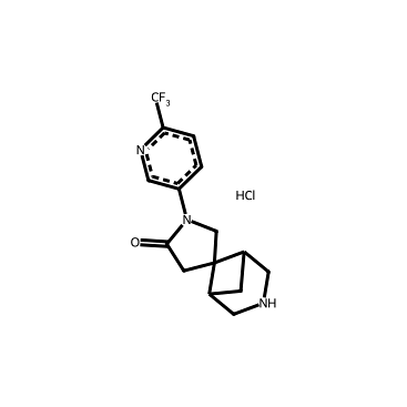 Cl.O=C1CC2(CN1c1ccc(C(F)(F)F)nc1)C1CNCC2C1